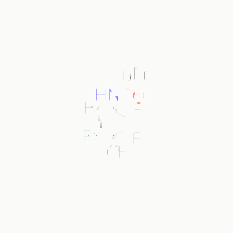 CCCC(=O)Nc1c(F)c(F)c(C(F)(F)F)c(F)c1F